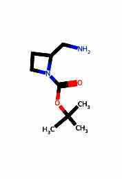 CC(C)(C)OC(=O)N1CCC1CN